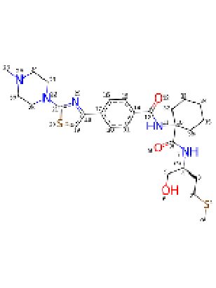 CSCC[C@@H](CO)NC(=O)C1(NC(=O)c2ccc(-c3csc(N4CCN(C)CC4)n3)cc2)CCCCC1